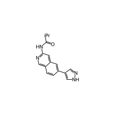 CC(C)C(=O)Nc1cc2cc(-c3cn[nH]c3)ccc2cn1